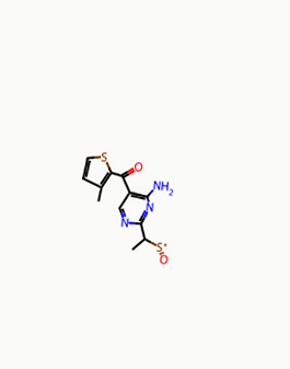 Cc1ccsc1C(=O)c1cnc(C(C)[S+]=O)nc1N